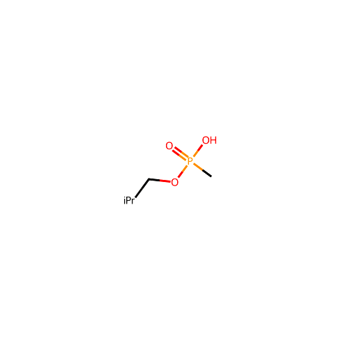 CC(C)COP(C)(=O)O